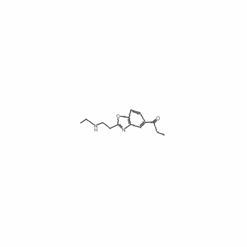 CCNCCc1nc2cc(C(=O)CC)ccc2o1